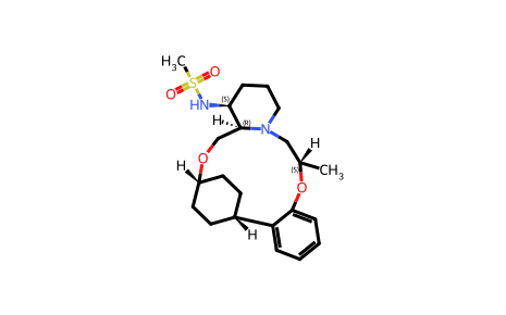 C[C@H]1CN2CCC[C@H](NS(C)(=O)=O)[C@@H]2CO[C@H]2CC[C@H](CC2)c2ccccc2O1